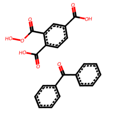 O=C(O)c1ccc(C(=O)O)c(C(=O)OO)c1.O=C(c1ccccc1)c1ccccc1